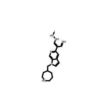 N=C/C(=C\NPI)c1cc2ccn(CC3CCCNCC3)c2cn1